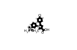 Cc1c(C(=O)O)cc(-c2ccc(Cl)cc2)n1-c1cccc(S(C)(=O)=O)c1